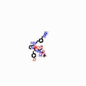 COc1ccc(C[C@H](NC(=O)[C@@H](NC(=O)OC(C)(C)C)[C@@H](C)OC)C(=O)N2CCC[C@@]2(C)C(=O)NCCc2cccc(CN=[N+]=[N-])c2)cc1